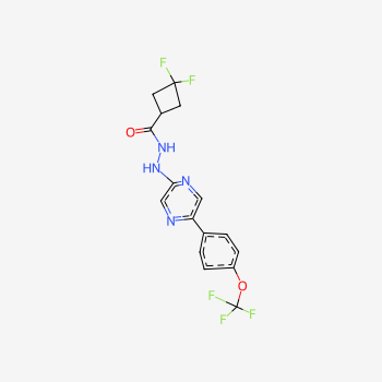 O=C(NNc1cnc(-c2ccc(OC(F)(F)F)cc2)cn1)C1CC(F)(F)C1